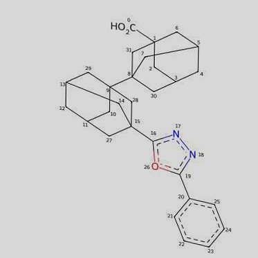 O=C(O)C12CC3CC(C1)CC(C14CC5CC(CC(c6nnc(-c7ccccc7)o6)(C5)C1)C4)(C3)C2